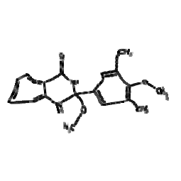 COc1c(C)cc(C2(OC)NC(=O)c3ccccc3N2)cc1C